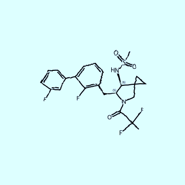 CC(F)(F)C(=O)N1CC2(CC2)[C@H](NS(C)(=O)=O)[C@@H]1Cc1cccc(-c2cccc(F)c2)c1F